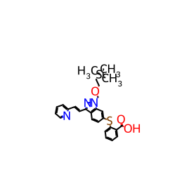 C[Si](C)(C)CCOCn1nc(C=Cc2ccccn2)c2ccc(Sc3ccccc3C(=O)O)cc21